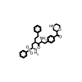 N[C@H](CC(CCc1ccccc1)C(=O)[C@@H](N)Cc1ccc(C(=O)C2CNCCO2)cc1)S(=O)(=O)c1ccccc1